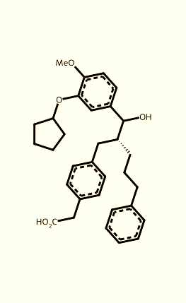 COc1ccc(C(O)[C@H](CCCc2ccccc2)Cc2ccc(CC(=O)O)cc2)cc1OC1CCCC1